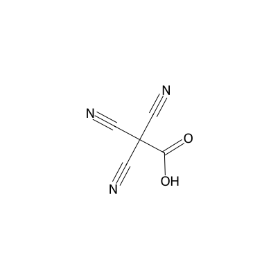 N#CC(C#N)(C#N)C(=O)O